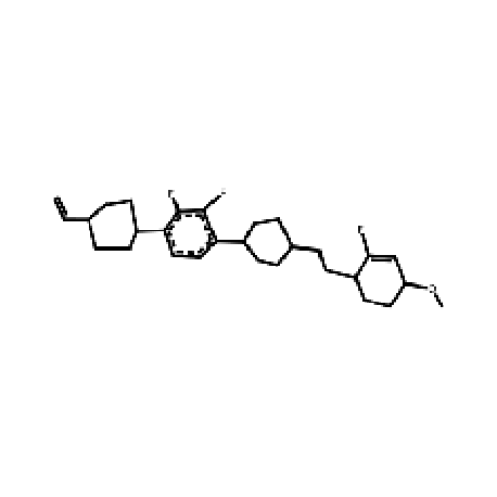 C=CC1CCC(c2ccc(C3CCC(CCC4CCC(OC)C=C4F)CC3)c(F)c2F)CC1